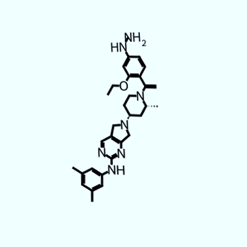 C=C(c1ccc(NN)cc1OCC)N1CC[C@@H](N2Cc3cnc(Nc4cc(C)cc(C)c4)nc3C2)C[C@H]1C